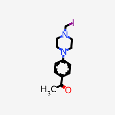 CC(=O)c1ccc(N2CCN(CI)CC2)cc1